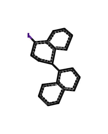 Ic1ccc(-c2cccc3ccccc23)c2ccccc12